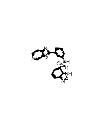 O=S(=O)(Nc1cccc(-c2nc3ccncc3s2)c1)C1=CC=CC2=NSNC12